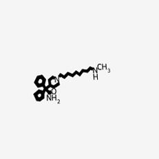 CNCCCCCCCCCN1CCC(C(C(N)=O)(c2ccccc2)c2ccccc2)CC1